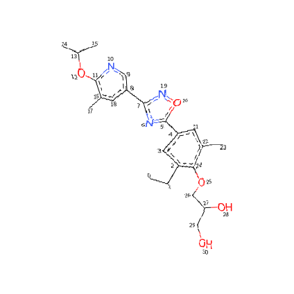 CCc1cc(-c2nc(-c3cnc(OC(C)C)c(C)c3)no2)cc(C)c1OCC(O)CO